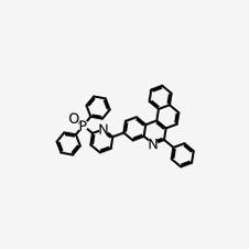 O=P(c1ccccc1)(c1ccccc1)c1cccc(-c2ccc3c(c2)nc(-c2ccccc2)c2ccc4ccccc4c23)n1